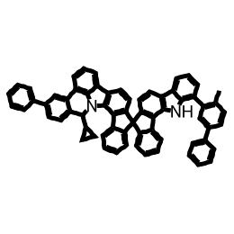 Cc1ccc(-c2ccccc2)cc1-c1cccc2c1[nH]c1c3c(ccc12)C1(c2ccccc2-3)c2ccccc2-c2c1ccc1c3cccc4c3n(c21)C(C1CC1)c1ccc(-c2ccccc2)cc1-4